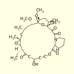 CC[C@H]1C(=O)C[C@H](O)CCOC(=O)[C@@H]2CCCCN2C(=O)C(=O)[C@]2(O)O[C@H]([C@@H](OC)C[C@@H](C)C[C@@]3(C)O[C@H]13)[C@@H](OC)C[C@H]2C